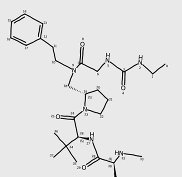 CCNC(=O)NCC(=O)N(CCc1ccccc1)C[C@@H]1CCCN1C(=O)[C@@H](NC(=O)[C@H](C)NC)C(C)(C)C